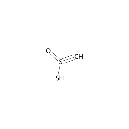 C#S(=O)S